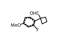 COc1ccc(C2(C=O)CCC2)c(F)c1